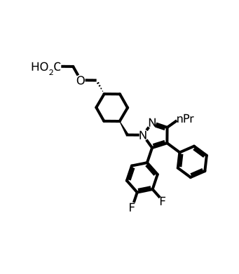 CCCc1nn(C[C@H]2CC[C@H](COCC(=O)O)CC2)c(-c2ccc(F)c(F)c2)c1-c1ccccc1